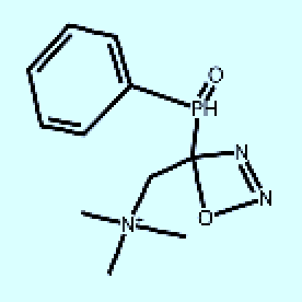 C[N+](C)(C)CC1([PH](=O)c2ccccc2)N=NO1